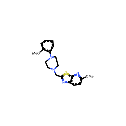 COc1ccc2nc(CN3CCN(c4ccccc4OC)CC3)sc2n1